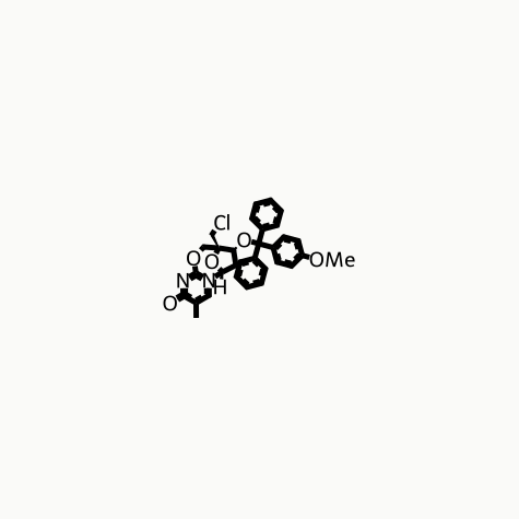 COc1ccc(C(O[C@@H]2C[C@H]3O[C@]2(CCl)COc2nc(=O)c(C)cn23)(c2ccccc2)c2ccccc2)cc1